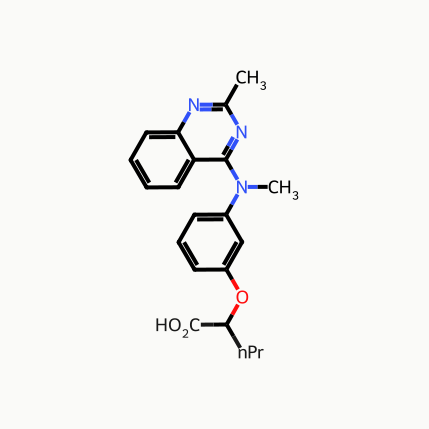 CCCC(Oc1cccc(N(C)c2nc(C)nc3ccccc23)c1)C(=O)O